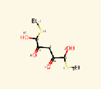 CCSC(O)C(=O)CC(=O)C(O)SCC